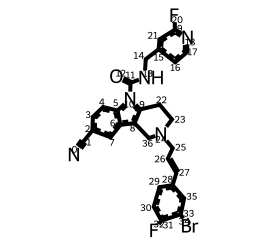 N#Cc1ccc2c(c1)c1c(n2C(=O)NCc2ccnc(F)c2)CCN(C/C=C/c2ccc(F)c(Br)c2)C1